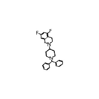 Fc1cc(F)c2c(c1)CN(C1CCN(C(c3ccccc3)c3ccccc3)CC1)CC2